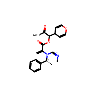 C=C(C(=O)OC(C(=O)OC)C1C=COC=C1)N(/C=N\C)[C@H](C)c1ccccc1